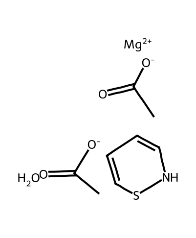 C1=CNSC=C1.CC(=O)[O-].CC(=O)[O-].O.[Mg+2]